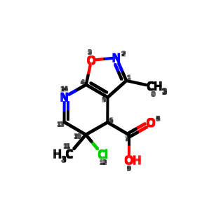 Cc1noc2c1C(C(=O)O)C(C)(Cl)C=N2